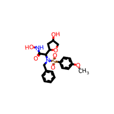 COc1ccc(S(=O)(=O)N(Cc2ccccc2)C(C(=O)NO)C2CC(O)CO2)cc1